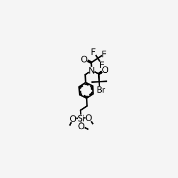 CO[Si](CCc1ccc(CN(C(=O)C(F)(F)F)C(=O)C(C)(C)Br)cc1)(OC)OC